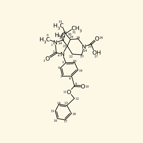 CN1C(=O)N(c2ccc(C(=O)OCc3ccccc3)cc2)C2(CCN(C(=O)O)CC2C(C)(C)C)C1=O